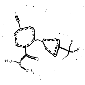 CN(C)C(=O)c1ccc(C#N)cc1-c1ccc(C(F)(F)F)cc1